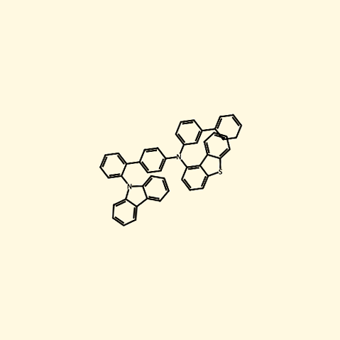 C1=CCCC(c2cccc(N(c3ccc(-c4ccccc4-n4c5ccccc5c5ccccc54)cc3)c3cccc4sc5ccccc5c34)c2)=C1